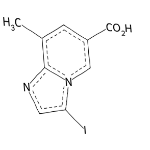 Cc1cc(C(=O)O)cn2c(I)cnc12